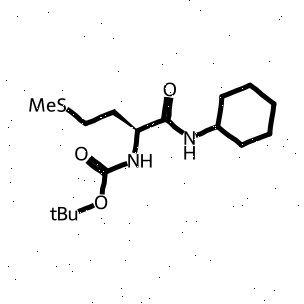 CSCC[C@H](NC(=O)OC(C)(C)C)C(=O)NC1CCCCC1